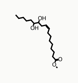 CCCCCC(O)C(O)C/C=C\CCCCCCCC(=O)OC